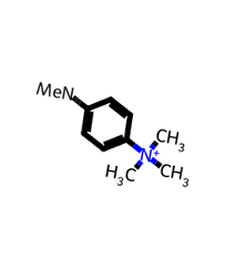 CNc1ccc([N+](C)(C)C)cc1